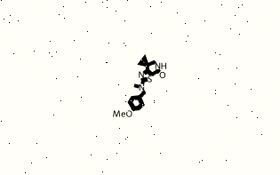 COc1ccc(CN(C)c2nc3c(s2)C(=O)NCC32CC2)cc1